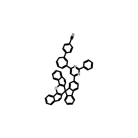 N#Cc1ccc(C2=CC(c3cc(-c4ccc5c(c4)C4(c6ccccc6-5)c5ccc6ccccc6c5Oc5c4ccc4ccccc54)nc(-c4ccccc4)n3)=CC=CC2)cc1